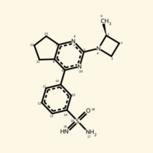 C[C@H]1CCN1c1nc2c(c(-c3cccc(S(=N)(N)=O)c3)n1)CCC2